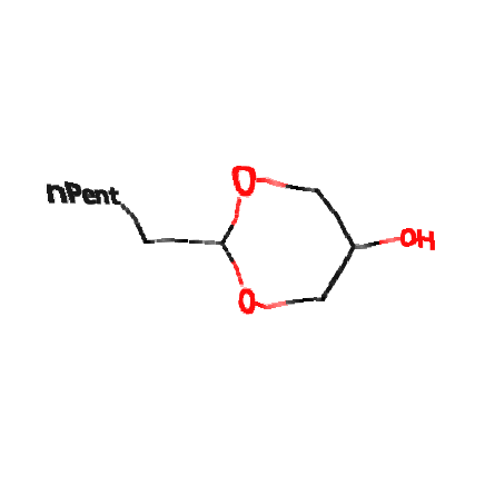 CCCCCCC1OCC(O)CO1